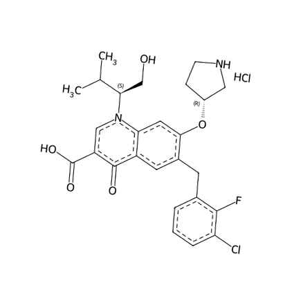 CC(C)[C@@H](CO)n1cc(C(=O)O)c(=O)c2cc(Cc3cccc(Cl)c3F)c(O[C@@H]3CCNC3)cc21.Cl